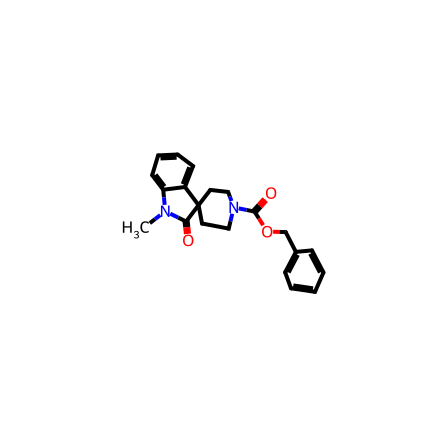 CN1C(=O)C2(CCN(C(=O)OCc3ccccc3)CC2)c2ccccc21